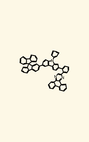 c1ccc(-n2c3ccc(-c4ccc5c(c4)C4(c6ccccc6-c6ccccc64)c4ccccc4-5)cc3c3ccc(-c4ccccc4-c4cnc5c6ccccc6c6ccccc6c5n4)cc32)cc1